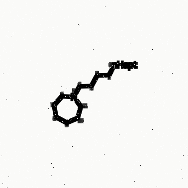 CCCCCCCCCCCN1CCCCCC1